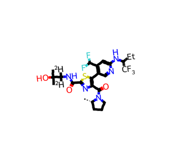 [2H]C([2H])(NC(=O)c1nc(C(=O)N2CCC[C@@H]2C)c(-c2cnc(NC(CC)C(F)(F)F)cc2C(F)F)s1)C(C)(C)O